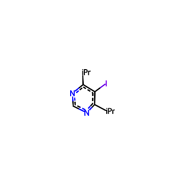 CC(C)c1ncnc(C(C)C)c1I